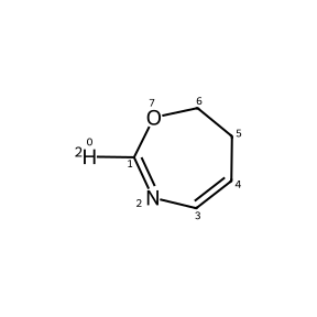 [2H]C1=NC=CCCO1